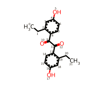 CCc1cc(O)ccc1C(=O)C(=O)c1ccc(O)cc1CC